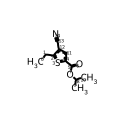 CCc1sc(C(=O)OC(C)C)cc1C#N